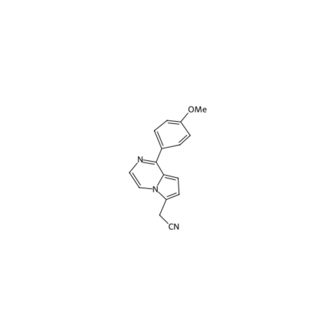 COc1ccc(-c2nccn3c(CC#N)ccc23)cc1